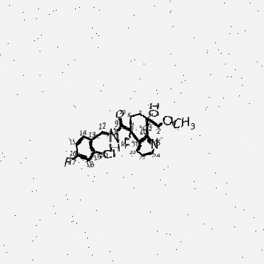 COC[C@]1(O)CC[C@@](F)(C(=O)NCc2ccc(F)cc2Cl)c2cccnc21